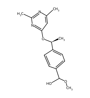 COC(O)c1ccc([C@H](C)Oc2cc(C)nc(C)n2)cc1